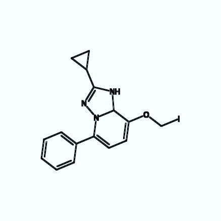 ICOC1=CC=C(c2ccccc2)N2N=C(C3CC3)NC12